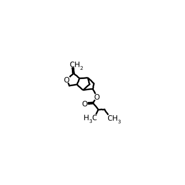 C=C1OCC2C3CC(CC3OC(=O)C(C)CC)C12